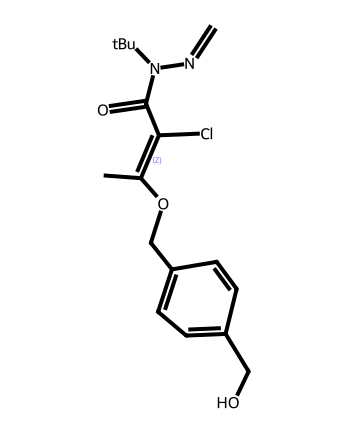 C=NN(C(=O)/C(Cl)=C(\C)OCc1ccc(CO)cc1)C(C)(C)C